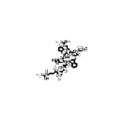 CC(C)(NC(=O)[C@H](CS)NC(=O)[C@@H](N)CCCNC(=N)N)C(=O)N[C@@H](Cc1c[nH]cn1)C(=O)N[C@H](Cc1ccccc1)C(=O)N[C@@H](CCCNC(=N)N)C(=O)N[C@@H](Cc1c[nH]c2ccccc12)C(=O)N[C@@H](CS)C(=O)O